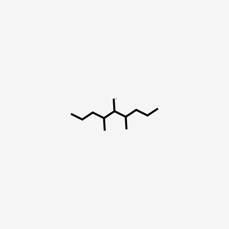 [CH2]C(C(C)CCC)C(C)CCC